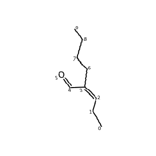 CCC=C(C=O)CCCC